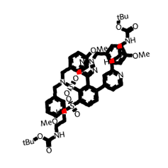 COc1ccc(CN(Cc2ccc(OC)cc2)S(=O)(=O)c2c(S(=O)(=O)NCCNC(=O)OC(C)(C)C)ccc(-c3ccnc(NCCNC(=O)OC(C)(C)C)c3)c2-c2nnn(Cc3ccc(OC)cc3)n2)cc1